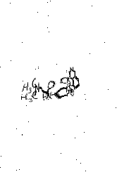 CN(C)CCC(=O)N[C@H]1CCN(S(=O)(=O)c2cccc3cncc(Cl)c23)C1